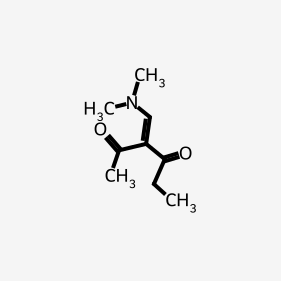 CCC(=O)/C(=C/N(C)C)C(C)=O